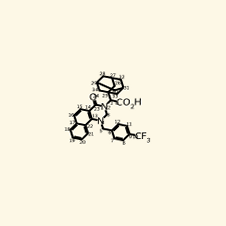 O=C(O)C(N1CN(Cc2ccc(C(F)(F)F)cc2)c2c(ccc3ccccc23)C1=O)C12CC3CC(CC(C3)C1)C2